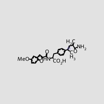 C=C(/C=C(\C)c1ccc(CC(NC(=O)c2cc3cc(OC)ccc3o2)C(=O)O)cc1)C(N)=O